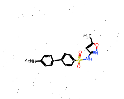 CC(=O)Nc1ccc(-c2ccc(S(=O)(=O)Nc3cc(C)on3)cc2)cc1